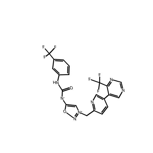 O=C([N-]c1c[n+](Cc2ccc(-c3cncnc3C(F)(F)F)cn2)no1)Nc1cccc(C(F)(F)F)c1